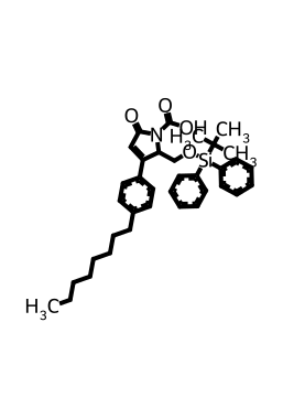 CCCCCCCCc1ccc(C2=CC(=O)N(C(=O)O)C2CO[Si](c2ccccc2)(c2ccccc2)C(C)(C)C)cc1